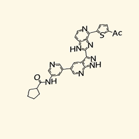 CC(=O)c1ccc(-c2nccc3[nH]c(-c4n[nH]c5ncc(-c6cncc(NC(=O)C7CCCC7)c6)cc45)nc23)s1